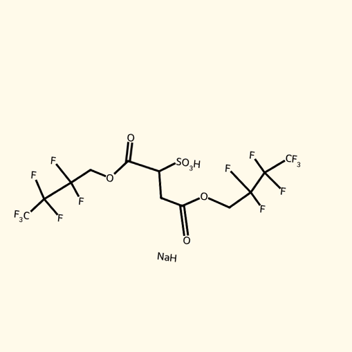 O=C(CC(C(=O)OCC(F)(F)C(F)(F)C(F)(F)F)S(=O)(=O)O)OCC(F)(F)C(F)(F)C(F)(F)F.[NaH]